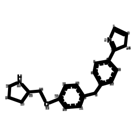 C1=CN=C(c2ccc(Cc3ccc(OCC4CCCN4)cc3)cc2)C1